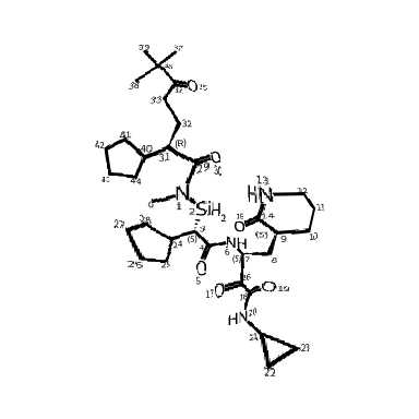 CN([SiH2][C@H](C(=O)N[C@@H](C[C@@H]1CCCNC1=O)C(=O)C(=O)NC1CC1)C1CCCC1)C(=O)[C@H](CCC(=O)C(C)(C)C)C1CCCC1